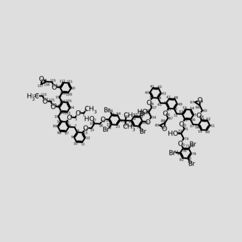 CCOCOc1c(Cc2ccccc2OCC(O)COc2c(Br)cc(C(C)(C)c3cc(Br)c(OCC(O)COc4ccccc4Cc4cccc(Cc5cccc(Cc6ccccc6OCC6CO6)c5OCC(O)COc5c(Br)cc(Br)cc5Br)c4OCC4CO4)c(Br)c3)cc2Br)cccc1Cc1cccc(Cc2ccccc2OCC2CO2)c1OCOCC